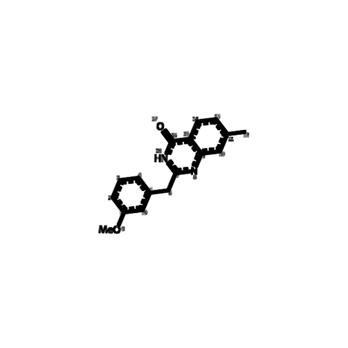 COc1cccc(Cc2nc3cc(C)ccc3c(=O)[nH]2)c1